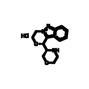 Cl.c1ccc2c3n(nc2c1)CCO[C@H]3[C@@H]1COCCN1